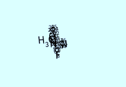 Cn1nc(-c2ccc(F)cc2)c(-c2ccncc2)c1CC(=O)Cc1ccccc1